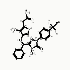 Cc1c(OC(c2ccccc2)c2nn(-c3ccc(C(F)(F)F)cc3)c(=O)n2C)csc1CC(=O)O